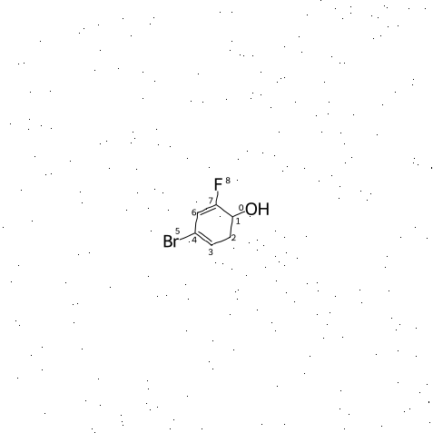 OC1CC=C(Br)C=C1F